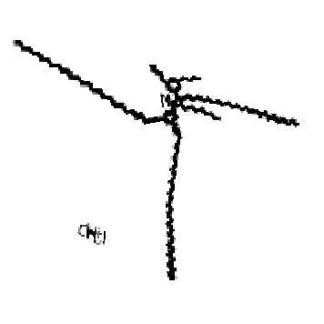 CCCCCCCCCCCCCCCCCCCCCCC=CC1=C(c2cc(CCCC)cc(CCCC)c2)[N+](=[N-])C(c2cc(C#CCCCCCCCCCCCCCCCCCCCCCCCCCCC)cc(C#CCCCCCCCCCCCCCCCCCCCCCCCCCCC)c2)=C1CCCCCCCC.[Cl][Ni][Cl]